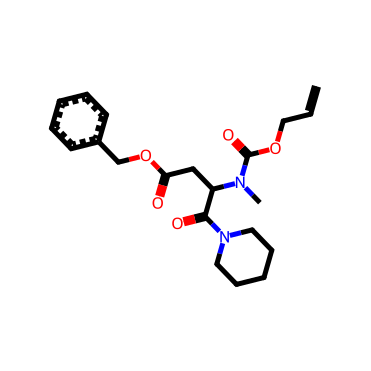 C=CCOC(=O)N(C)C(CC(=O)OCc1ccccc1)C(=O)N1CCCCC1